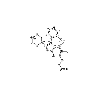 Cn1c(OCC(=O)O)nc2nc(N3CCNCC3)n(-c3ccccc3Cl)c2c1=O